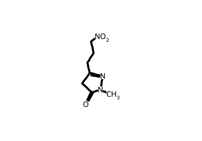 CN1N=C(CCC[N+](=O)[O-])CC1=O